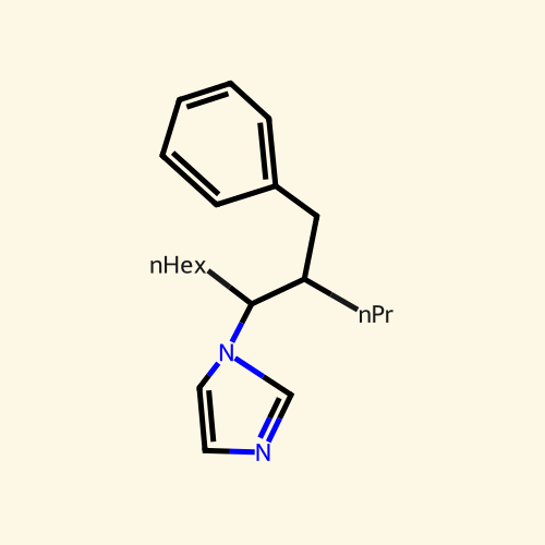 CCCCCCC(C(CCC)Cc1ccccc1)n1ccnc1